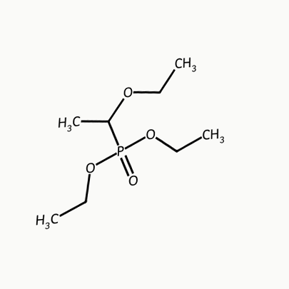 CCOC(C)P(=O)(OCC)OCC